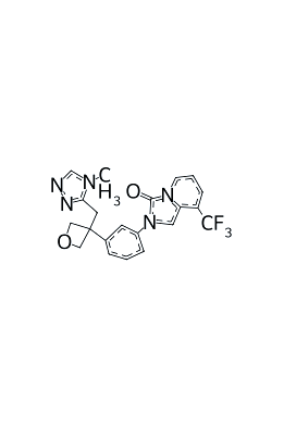 Cn1cnnc1CC1(c2cccc(-n3cc4c(C(F)(F)F)cccn4c3=O)c2)COC1